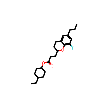 CCCc1cc(F)c2c(c1)CCC(CCC(=O)OC1CCC(CC)CC1)O2